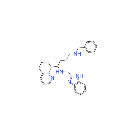 c1ccc(CNCCCC(NCc2nc3ccccc3[nH]2)C2CCCc3cccnc32)cc1